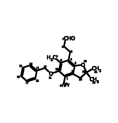 CCCc1c2c(c(CCC=O)c(C)c1OCc1ccccc1)OC(C)(C)C2